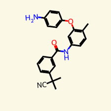 Cc1ccc(NC(=O)c2cccc(C(C)(C)C#N)c2)cc1Oc1ccc(N)cc1